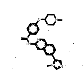 C=C(Nc1cc2cc(-c3cncn3C)ccc2cn1)c1ccc(OC2CCN(C)CC2)cc1